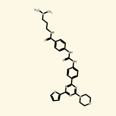 CN(C)CCCNC(=O)c1ccc(NC(=O)Nc2ccc(-c3nc(-c4cccs4)nc(N4CCOCC4)n3)cc2)cc1